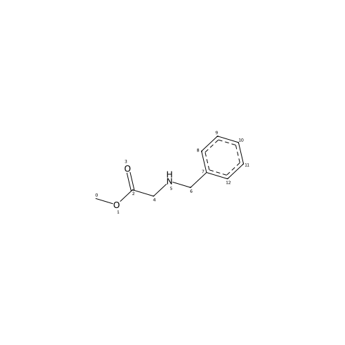 COC(=O)CNCc1ccccc1